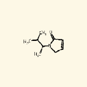 CC(C)[C@H](C)N1CC=CC1=O